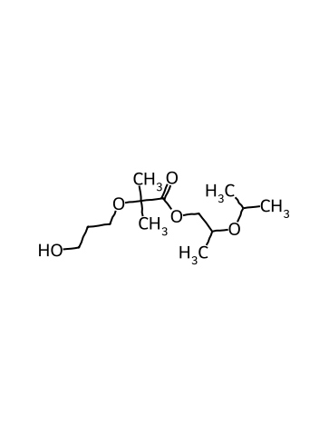 CC(C)OC(C)COC(=O)C(C)(C)OCCCO